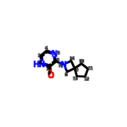 O=c1[nH][c]cnc1N1CC2(CCCC2)C1